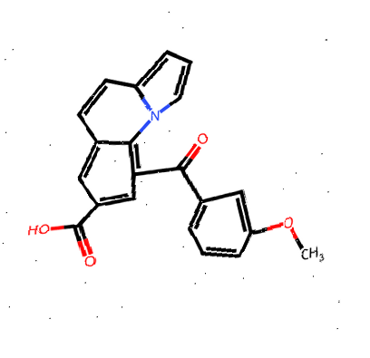 COc1cccc(C(=O)c2cc(C(=O)O)cc3ccc4cccn4c23)c1